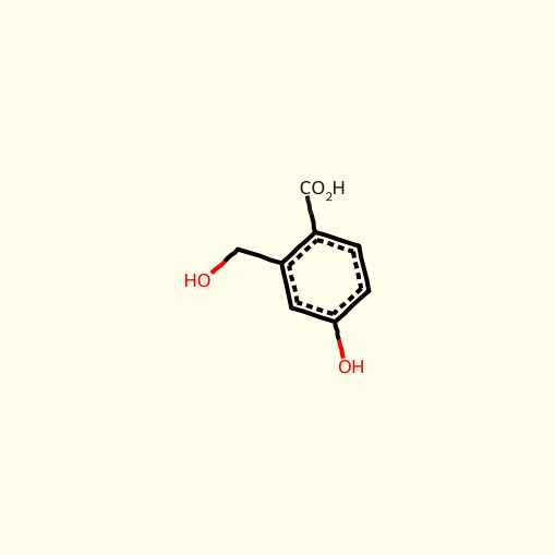 O=C(O)c1ccc(O)cc1CO